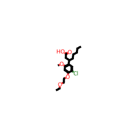 CCCCCC(CC(=O)O)c1cc(Cl)c(OCCOCC)cc1OC